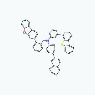 c1cc(-c2cccc3c2sc2ccccc23)cc(N(Cc2ccccc2-c2ccc3c(c2)oc2ccccc23)c2ccc(-c3ccc4ccccc4c3)cc2)c1